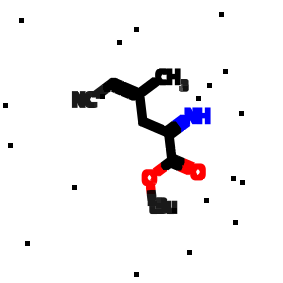 CC(=CC#N)CC(=N)C(=O)OC(C)(C)C